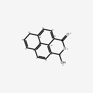 O=C1OC(O)c2ccc3c4c(ccc1c24)CC=C3